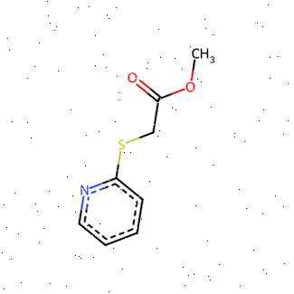 COC(=O)CSc1ccccn1